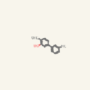 [C-]#[N+]c1cccc(-c2ccc(C=O)c(O)c2)c1